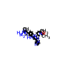 CC(=O)N1C[C@H](c2nc(Nc3cccc(/C(N)=C/N(C)N)c3)cc(-c3cnccn3)n2)CC[C@@H]1C